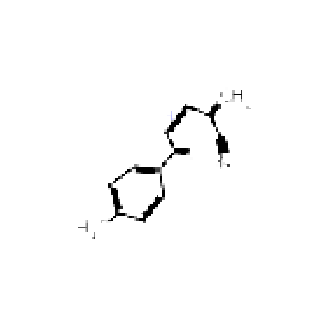 C=C(C#N)/C=C\C(=C)c1ccc(C)cc1